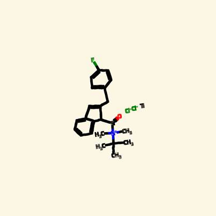 CC(C)(C)[N+](C)(C)[Si](=O)C1C(Cc2ccc(F)cc2)=Cc2ccccc21.[Cl-].[Cl-].[Ti]